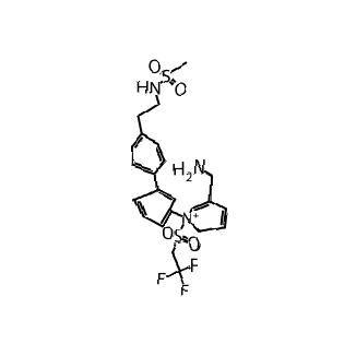 CS(=O)(=O)NCCc1ccc(-c2cccc([N+]3(S(=O)(=O)CC(F)(F)F)C=C(CN)C=CC3)c2)cc1